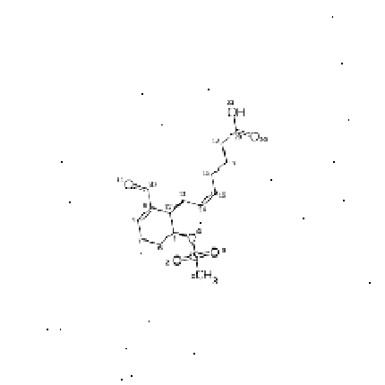 CS(=O)(=O)O[C@H]1CCC=C(C=O)[C@H]1C/C=C\CCCC(=O)O